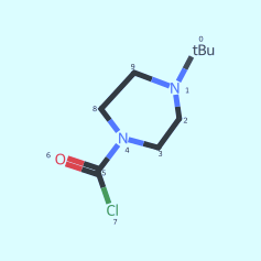 CC(C)(C)N1CCN(C(=O)Cl)CC1